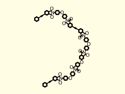 O=C1c2ccc(C#Cc3ccccc3)cc2C(=O)N1c1ccc(Oc2ccc(N3C(=O)c4ccc(C#Cc5ccc6c(c5)C(=O)N(c5ccc(Oc7ccc(N8C(=O)c9ccc(Oc%10ccc%11c(c%10)C(=O)N(c%10ccc(Oc%12ccc(N%13C(=O)c%14ccc(C#Cc%15ccccc%15)cc%14C%13=O)cc%12)cc%10)C%11=O)cc9C8=O)cc7)cc5)C6=O)cc4C3=O)cc2)cc1